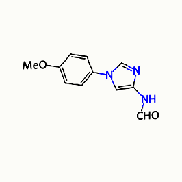 COc1ccc(-n2cnc(NC=O)c2)cc1